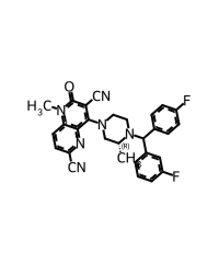 C[C@@H]1CN(c2c(C#N)c(=O)n(C)c3ccc(C#N)nc23)CCN1C(c1ccc(F)cc1)c1cccc(F)c1